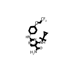 CC(C)(Nc1nc(N[C@H]2CC[C@H](OCC(F)(F)F)CC2)ncc1C(N)=O)C1CC1